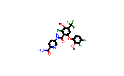 COc1c(Oc2cc(C(F)(F)F)c(OC)c(F)c2C(=O)Nc2ccc(C(N)=O)nc2)ccc(F)c1F